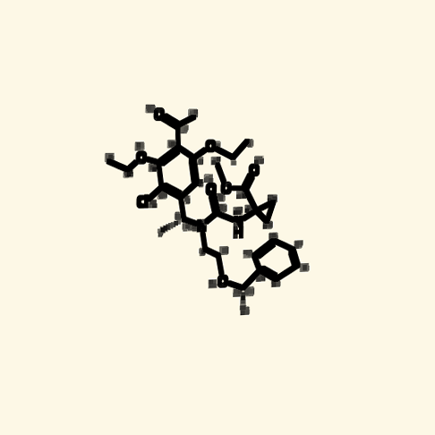 CCOc1cc([C@@H](C)N(CCO[C@@H](C)c2ccccc2)C(=O)NC2(C(=O)OC)CC2)c(Cl)c(OCC)c1C(C)=O